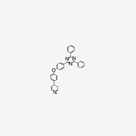 C1=CC(c2ccc(Oc3ccc(-c4nc(-c5ccccc5)nc(-c5ccccc5)n4)cc3)cc2)CC=N1